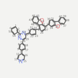 c1ccc(-c2nc(-c3ccc(-c4ccncc4)cc3)cc(-c3ccc(-c4ccc(-c5ccc6c(c5)oc5ccccc56)c5oc6ccccc6c45)cc3)n2)cc1